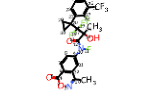 Cc1noc(=O)c2ccc(N(F)C(=O)C(C)(O)C(F)(F)C3(c4cccc(C(F)(F)F)c4F)CC3)cc12